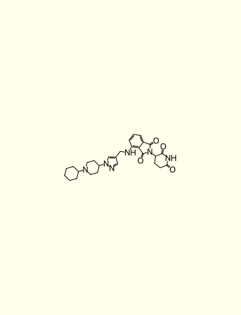 O=C1CCC(N2C(=O)c3cccc(NCc4cnn(C5CCN(C6CCCCC6)CC5)c4)c3C2=O)C(=O)N1